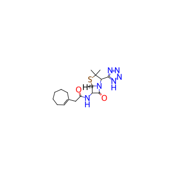 CC1(C)S[C@H]2C(NC(=O)CC3=CCCCCC3)C(=O)N2C1c1nnn[nH]1